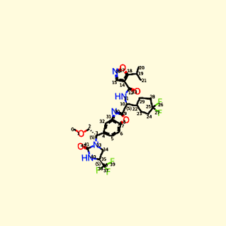 COC[C@H](c1ccc2oc([C@@H](NC(=O)c3cnoc3C(C)C)C3CCC(F)(F)CC3)nc2c1)N1C[C@@H](C(F)(F)F)NC1=O